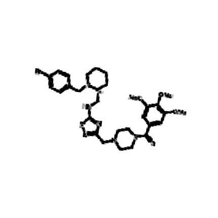 COc1cc(C(=O)N2CCN(Cc3nsc(NC[C@@H]4CCCCN4Cc4ccc(Br)cc4)n3)CC2)cc(OC)c1OC